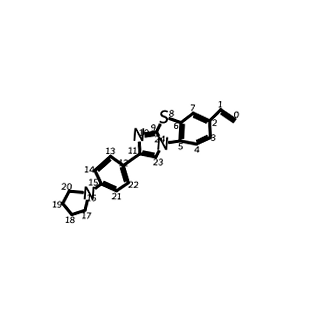 C=Cc1ccc2c(c1)sc1nc(-c3ccc(N4CCCC4)cc3)cn12